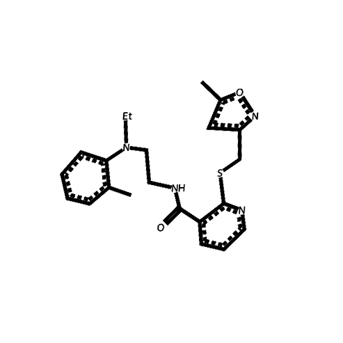 CCN(CCNC(=O)c1cccnc1SCc1cc(C)on1)c1ccccc1C